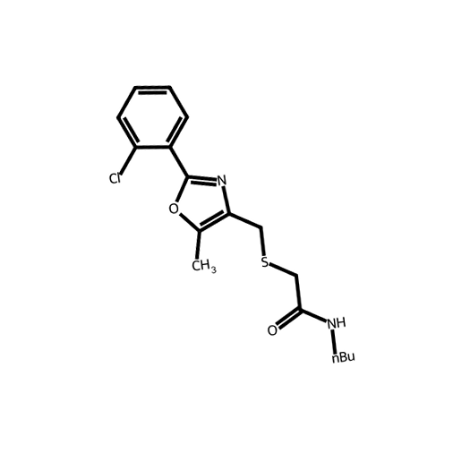 CCCCNC(=O)CSCc1nc(-c2ccccc2Cl)oc1C